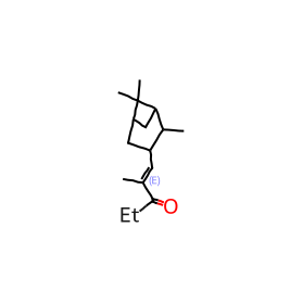 CCC(=O)/C(C)=C/C1CC2CC(C1C)C2(C)C